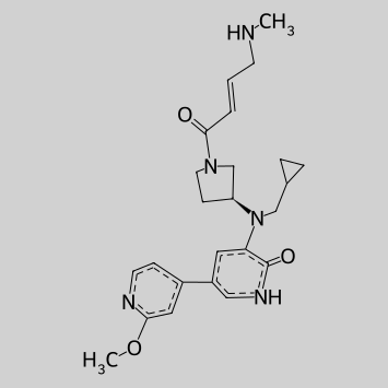 CNC/C=C/C(=O)N1CC[C@H](N(CC2CC2)c2cc(-c3ccnc(OC)c3)c[nH]c2=O)C1